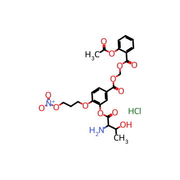 CC(=O)Oc1ccccc1C(=O)OCOC(=O)c1ccc(OCCCO[N+](=O)[O-])c(OC(=O)C(N)C(C)O)c1.Cl